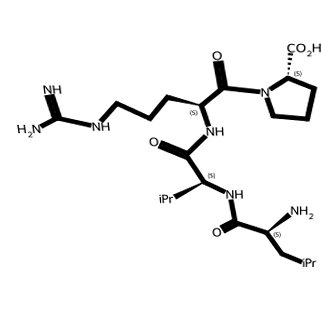 CC(C)C[C@H](N)C(=O)N[C@H](C(=O)N[C@@H](CCCNC(=N)N)C(=O)N1CCC[C@H]1C(=O)O)C(C)C